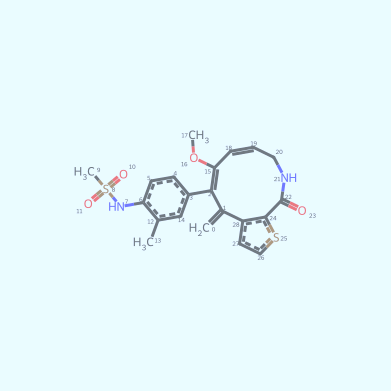 C=C1/C(c2ccc(NS(C)(=O)=O)c(C)c2)=C(OC)\C=C/CNC(=O)c2sccc21